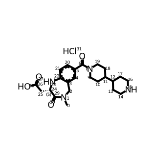 CN1Cc2cc(C(=O)N3CCC(C4CCNCC4)CC3)ccc2N[C@@H](CC(=O)O)C1=O.Cl